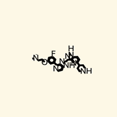 CN(C)CCOc1cc(F)cc(-c2nccc3[nH]c(-c4n[nH]c5ccc(C6CCNCC6)nc45)nc23)c1